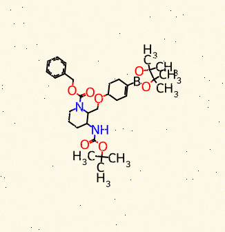 CC(C)(C)OC(=O)NC1CCCN(C(=O)OCc2ccccc2)C1COC1CC=C(B2OC(C)(C)C(C)(C)O2)CC1